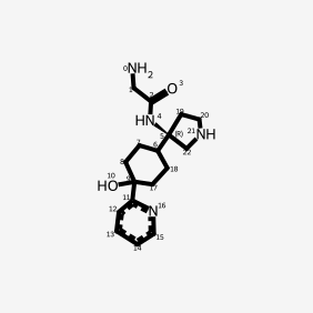 NCC(=O)N[C@@]1(C2CCC(O)(c3ccccn3)CC2)CCNC1